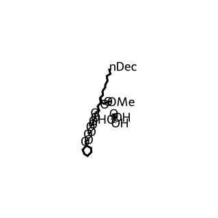 CCCCCCCCCCCCCCCCCCC=C(CCOOOOOOOOOC1CCCCC1)OOOC.O=P(O)(O)O